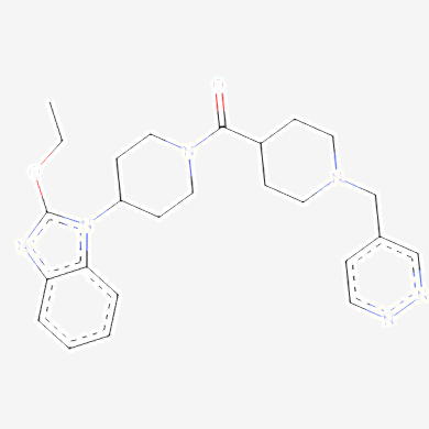 CCOc1nc2ccccc2n1C1CCN(C(=O)C2CCN(Cc3ccnnc3)CC2)CC1